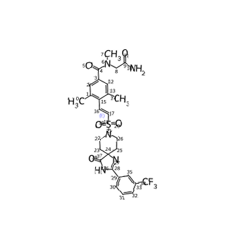 Cc1cc(C(=O)N(C)CC(N)=O)cc(C)c1/C=C/S(=O)(=O)N1CCC2(CC1)N=C(c1cccc(C(F)(F)F)c1)NC2=O